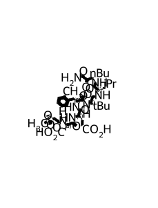 CCCCC(NC(=O)[C@H](CC(C)C)NC(=O)[C@@H](NC(=O)[C@H](Cc1ccccc1C)NC(=O)[C@H](CCC(=O)O)NC(=O)[C@H](CC(=O)O)NC(=O)CS(C)(=O)=O)C(C)(C)C)C(=O)C(N)=O